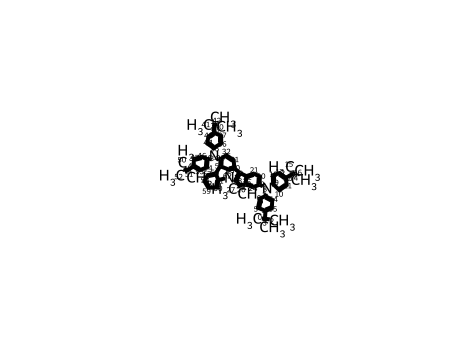 CC(C)(C)c1ccc(N(c2ccc(C(C)(C)C)cc2)c2ccc3c(c2)C(C)(C)c2c-3c3ccc(N(c4ccc(C(C)(C)C)cc4)c4ccc(C(C)(C)C)cc4)c4c5ccccc5n2c34)cc1